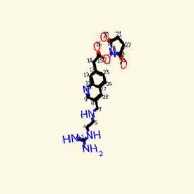 N=C(N)NCCNCc1cnc2cc(CC(=O)ON3C(=O)CCC3=O)ccc2c1